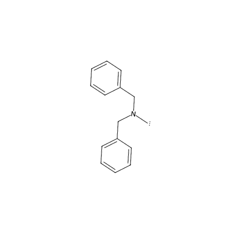 [C]N(Cc1ccccc1)Cc1ccccc1